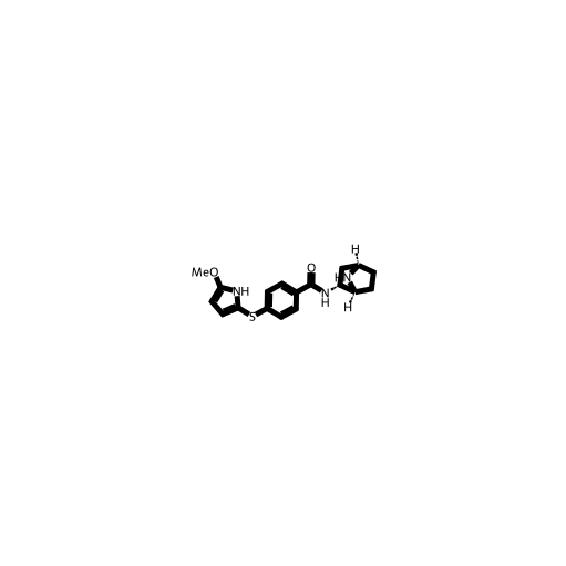 COc1ccc(Sc2ccc(C(=O)N[C@@H]3C[C@H]4CC[C@@H]3N4)cc2)[nH]1